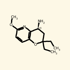 CCC1(CC)C[C@H](N)c2nc(OC)ccc2O1